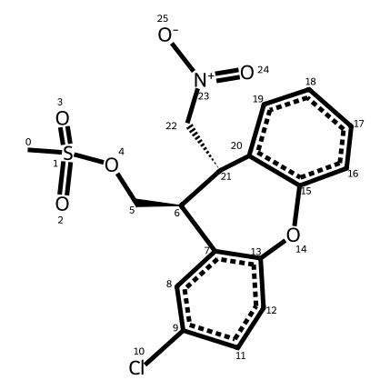 CS(=O)(=O)OC[C@@H]1c2cc(Cl)ccc2Oc2ccccc2[C@H]1C[N+](=O)[O-]